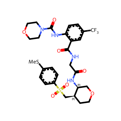 CSc1ccc(S(=O)(=O)C[C@@H]2CCOC[C@@H]2NC(=O)CNC(=O)c2cc(C(F)(F)F)ccc2NC(=O)N2CCOCC2)cc1